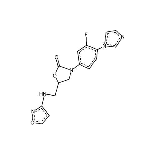 O=C1OC(CNc2ccon2)CN1c1ccc(-n2ccnc2)c(F)c1